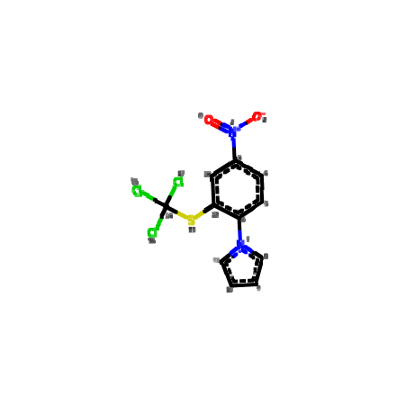 O=[N+]([O-])c1ccc(-n2cccc2)c(SC(Cl)(Cl)Cl)c1